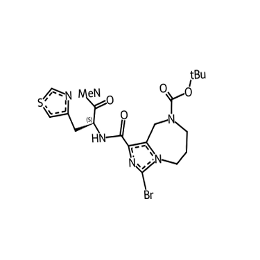 CNC(=O)[C@H](Cc1cscn1)NC(=O)c1nc(Br)n2c1CN(C(=O)OC(C)(C)C)CCC2